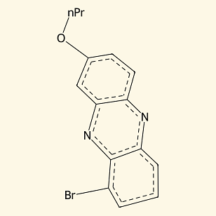 CCCOc1ccc2nc3cccc(Br)c3nc2c1